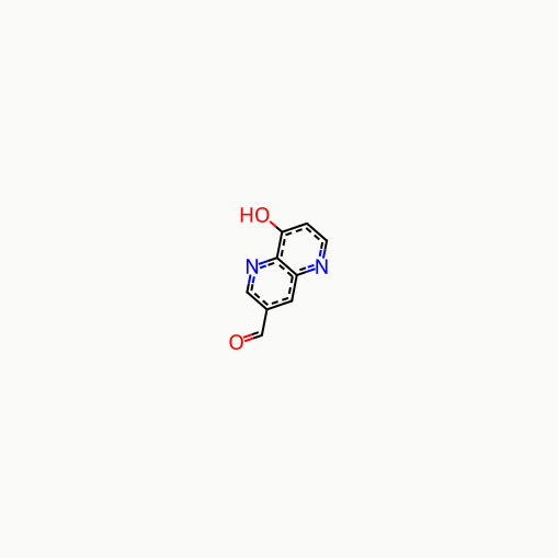 O=Cc1cnc2c(O)ccnc2c1